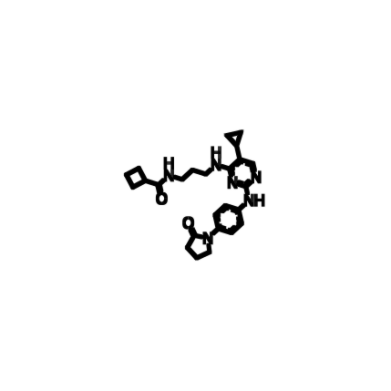 O=C(NCCCNc1nc(Nc2ccc(N3CCCC3=O)cc2)ncc1C1CC1)C1CCC1